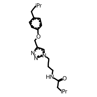 CC(C)CC(=O)NCCCn1cc(COc2ccc(CC(C)C)cc2)nn1